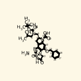 CC(C)CN(C[C@@H]1Cc2c(cc(OCc3ccccc3)c(N3CC(=O)NS3(=O)=O)c2F)N1C(=O)O)C(=O)OC(C)(C)C.N